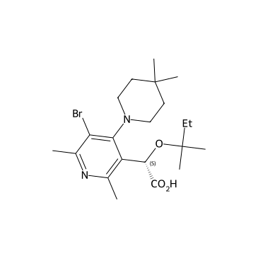 CCC(C)(C)O[C@H](C(=O)O)c1c(C)nc(C)c(Br)c1N1CCC(C)(C)CC1